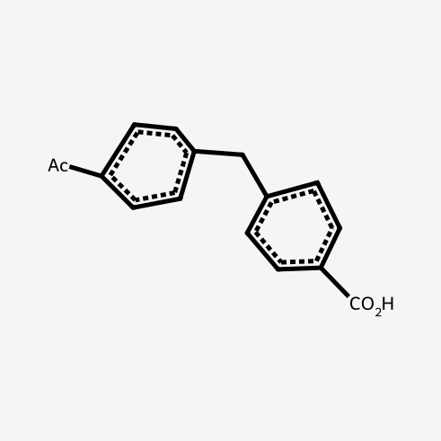 CC(=O)c1ccc(Cc2ccc(C(=O)O)cc2)cc1